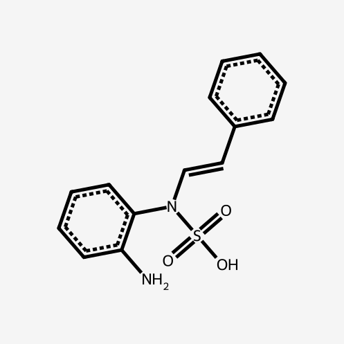 Nc1ccccc1N(C=Cc1ccccc1)S(=O)(=O)O